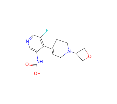 O=C(O)Nc1cncc(F)c1C1=CCN(C2COC2)CC1